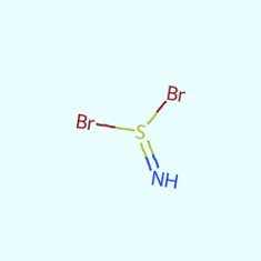 N=S(Br)Br